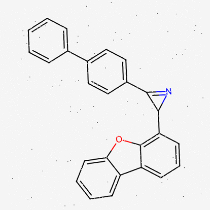 c1ccc(-c2ccc(C3=NC3c3cccc4c3oc3ccccc34)cc2)cc1